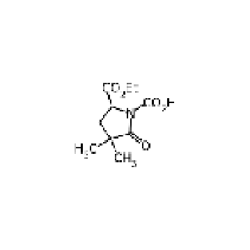 CCOC(=O)C1CC(C)(C)C(=O)N1C(=O)O